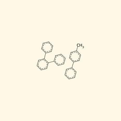 Cc1ccc(-c2ccccc2)cc1.c1ccc(-c2ccccc2-c2ccccc2)cc1